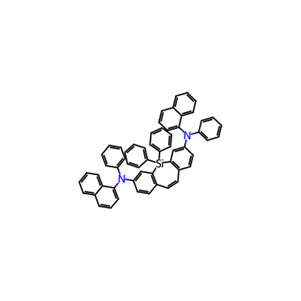 C1=Cc2ccc(N(c3ccccc3)c3cccc4ccccc34)cc2[Si](c2ccccc2)(c2ccccc2)c2cc(N(c3ccccc3)c3cccc4ccccc34)ccc21